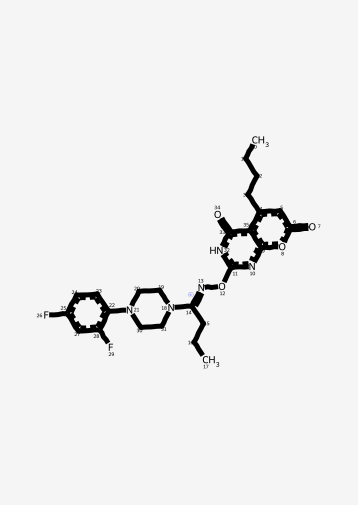 CCCCc1cc(=O)oc2nc(O/N=C(\CCC)N3CCN(c4ccc(F)cc4F)CC3)[nH]c(=O)c12